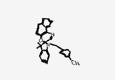 CC1(C)c2ccccc2N(Cc2ccc(C#N)cc2)C12C=Nc1c(ccc3ccccc13)O2